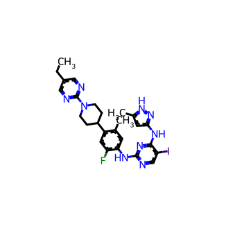 CCc1cnc(N2CCC(c3cc(F)c(Nc4ncc(I)c(Nc5cc(C)[nH]n5)n4)cc3C)CC2)nc1